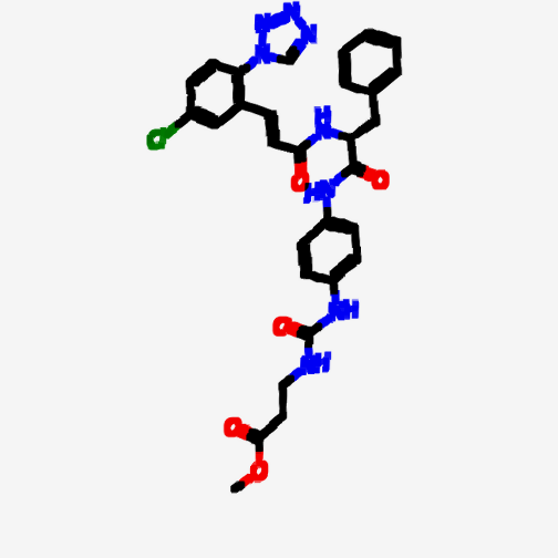 COC(=O)CCNC(=O)Nc1ccc(NC(=O)[C@H](Cc2ccccc2)NC(=O)/C=C/c2cc(Cl)ccc2-n2cnnn2)cc1